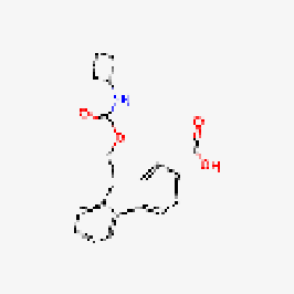 O=C(NC1CCC1)OCC1c2ccccc2-c2ccccc21.O=CO